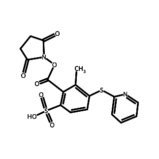 Cc1c(Sc2ccccn2)ccc(S(=O)(=O)O)c1C(=O)ON1C(=O)CCC1=O